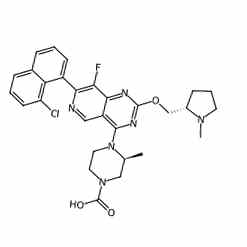 C[C@H]1CN(C(=O)O)CCN1c1nc(OC[C@@H]2CCCN2C)nc2c(F)c(-c3cccc4cccc(Cl)c34)ncc12